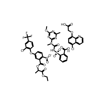 CCOC(=O)C(C)OC(=O)c1cc(Oc2ccc(C(F)(F)F)cc2Cl)ccc1[N+](=O)[O-].COc1nc(C)nc(N(C)C(=O)NS(=O)(=O)c2ccccc2C(=O)O)n1.O=C(O)COc1ccc(Cl)c2cccnc12